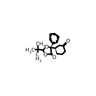 CC(C)(C)C1OC(=O)[C@@](c2ccccc2)([C@@H]2CCCC(=O)C2)O1